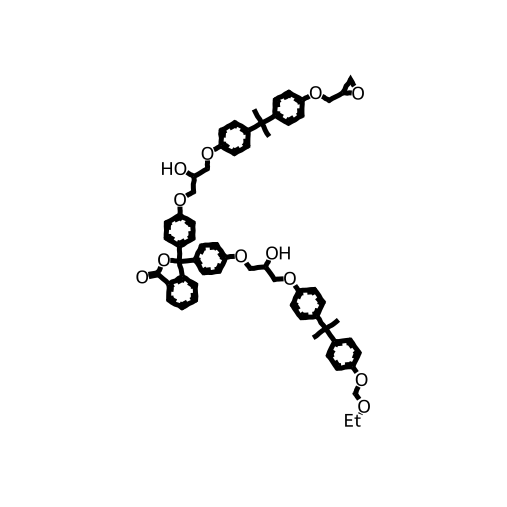 CCOCOc1ccc(C(C)(C)c2ccc(OCC(O)COc3ccc(C4(c5ccc(OCC(O)COc6ccc(C(C)(C)c7ccc(OCC8CO8)cc7)cc6)cc5)OC(=O)c5ccccc54)cc3)cc2)cc1